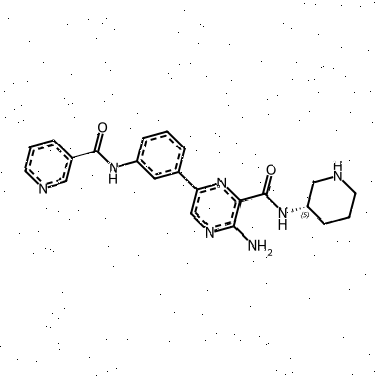 Nc1ncc(-c2cccc(NC(=O)c3cccnc3)c2)nc1C(=O)N[C@H]1CCCNC1